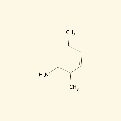 CC/C=C\C(C)CN